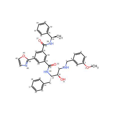 COc1cccc(CNC[C@@H](O)[C@H](Cc2ccccc2)NC(=O)c2cc(C(=O)N[C@H](C)c3ccccc3)cc(-c3ncco3)c2)c1